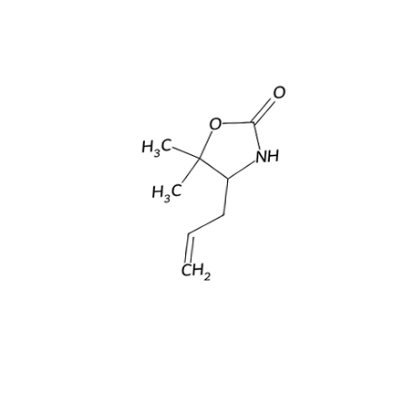 C=CCC1NC(=O)OC1(C)C